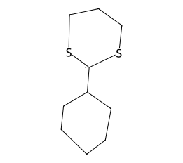 C1CCC([C]2SCCCS2)CC1